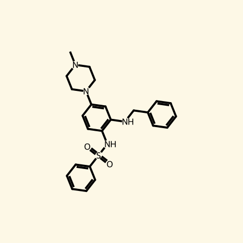 CN1CCN(c2ccc(NS(=O)(=O)c3ccccc3)c(NCc3ccccc3)c2)CC1